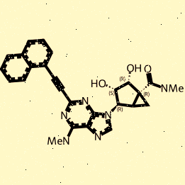 CNC(=O)[C@]12CC1[C@@H](n1cnc3c(NC)nc(C#Cc4cccc5ccccc45)nc31)[C@H](O)[C@@H]2O